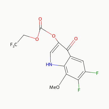 COc1c(F)c(F)cc2c(=O)c(OC(=O)OCC(F)(F)F)c[nH]c12